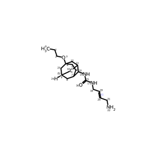 CCCOC12CCC3C[C@@H](CC(C1)C3NC(=O)NC/C=C/CN)C2